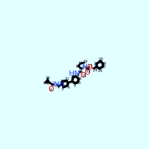 O=C(NCc1ccc(-c2cccc(NC(=O)[C@@H]3CCCN3C(=O)OCc3ccccc3)c2)cc1)C1CC1